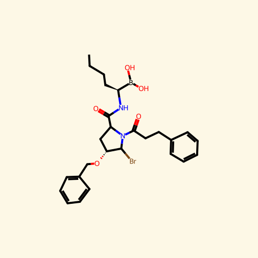 CCCC[C@H](NC(=O)C1C[C@@H](OCc2ccccc2)C(Br)N1C(=O)CCc1ccccc1)B(O)O